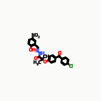 CC(C)(Oc1ccc(C(=O)c2ccc(Cl)cc2)cc1)C(=O)N/N=C/c1cc([N+](=O)[O-])ccc1O